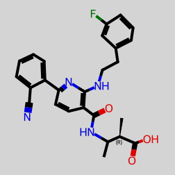 CC(NC(=O)c1ccc(-c2ccccc2C#N)nc1NCCc1cccc(F)c1)[C@@H](C)C(=O)O